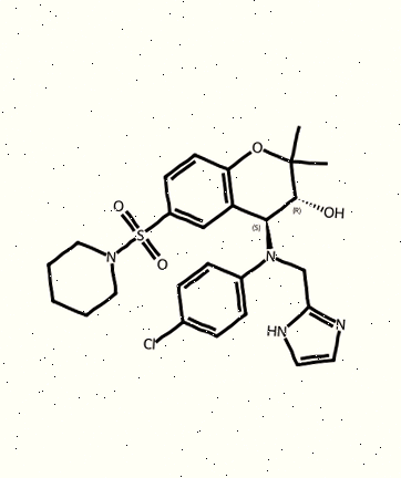 CC1(C)Oc2ccc(S(=O)(=O)N3CCCCC3)cc2[C@H](N(Cc2ncc[nH]2)c2ccc(Cl)cc2)[C@H]1O